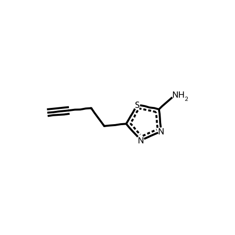 C#CCCc1nnc(N)s1